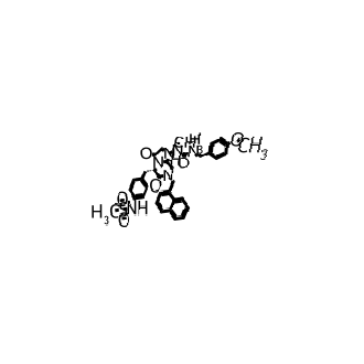 COc1ccc(CNC(=O)N(C)N2CC(=O)N3[C@@H](Cc4ccc(NS(C)(=O)=O)cc4)C(=O)N(Cc4cccc5ccccc45)C[C@@H]32)cc1